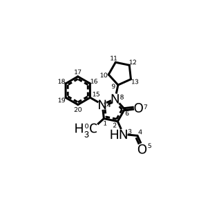 Cc1c(NC=O)c(=O)n(C2CCCC2)n1-c1ccccc1